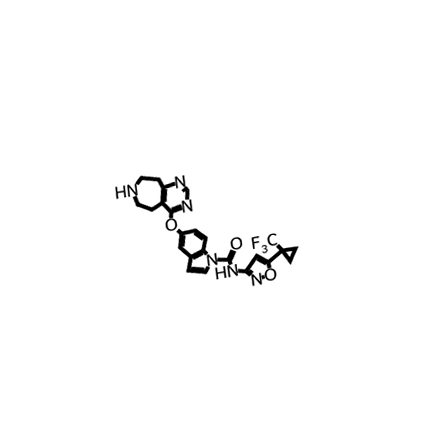 O=C(Nc1cc(C2(C(F)(F)F)CC2)on1)n1ccc2cc(Oc3ncnc4c3CCNCC4)ccc21